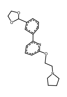 c1cc(-c2cccc(OCCN3CCCC3)n2)cc(C2OCCO2)c1